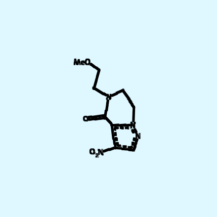 COCCN1CCn2ncc([N+](=O)[O-])c2C1=O